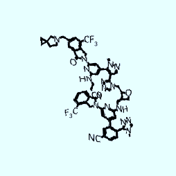 Cn1cnnc1-c1ccc(C#N)cc1-c1cc(NCC2COC2Cn2cnnc2-c2cnn(C)c2-c2cc(NCCC#N)nc(N3Cc4c(cc(CN5CCC6(CC6)C5)cc4C(F)(F)F)C3=O)c2)nc(N2Cc3c(cccc3C(F)(F)F)C2=O)c1